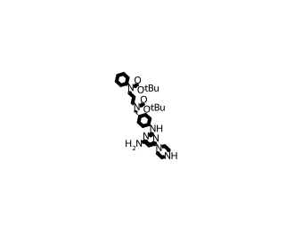 CC(C)(C)OC(=O)N(CCCN(C(=O)OC(C)(C)C)C1CCCCC1)C[C@H]1CC[C@H](Nc2nc(N)cc(N3CCNCC3)n2)CC1